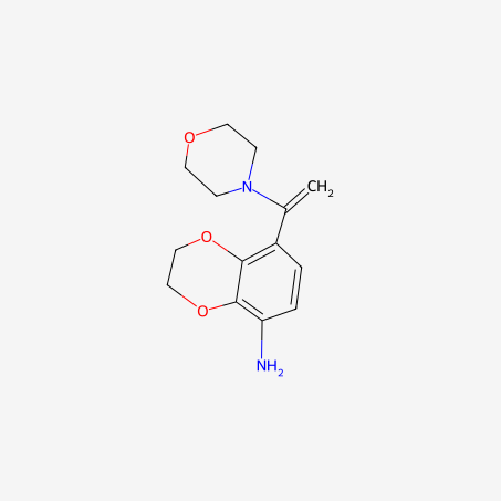 C=C(c1ccc(N)c2c1OCCO2)N1CCOCC1